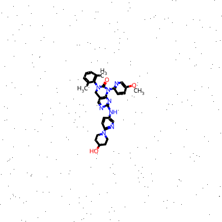 COc1ccc(N2C(=O)N(c3c(C)cccc3C)Cc3cnc(Nc4ccc(N5CCC(O)CC5)nc4)nc32)nc1